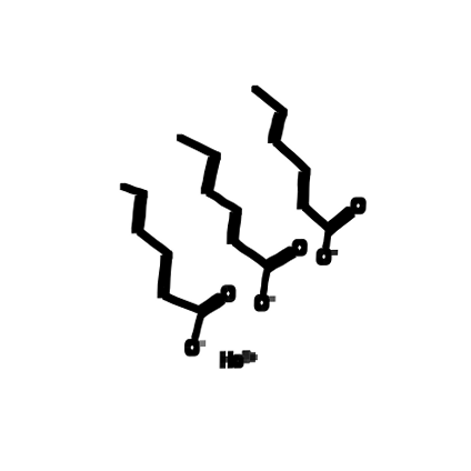 C/C=C/C=C/C(=O)[O-].C/C=C/C=C/C(=O)[O-].C/C=C/C=C/C(=O)[O-].[Ho+3]